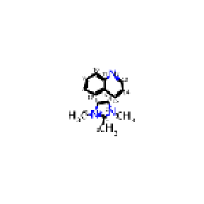 Cc1n(C)cc[n+]1C.c1ccc2ncccc2c1